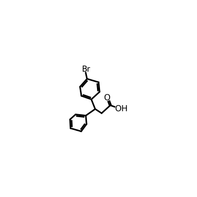 O=C(O)CC(c1ccccc1)c1ccc(Br)cc1